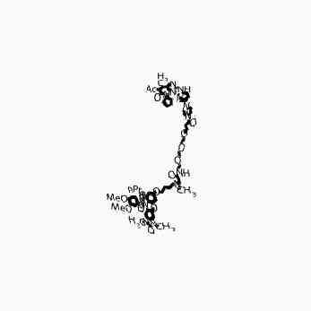 CCCOc1cc(OCCCCN(C)CC(=O)NCCOCCOCCOCCC(=O)N2CCN(c3ccc(Nc4ncc5c(C)c(C(C)=O)c(=O)n(C6CCCC6)c5n4)nc3)CC2)cc(Oc2cc3c(cc2NS(=O)(=O)c2ccc(OC)c(OC)c2)n(C)c(=O)n3C)c1